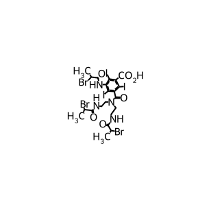 CC(Br)C(=O)NCCN(CCNC(=O)C(C)Br)C(=O)c1c(I)c(NC(=O)C(C)Br)c(I)c(C(=O)O)c1I